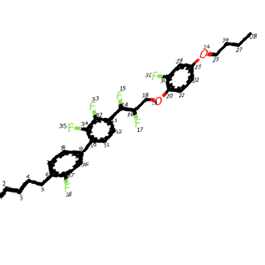 CCCCCCc1ccc(-c2ccc(C(F)C(F)COc3ccc(OCCCC)cc3F)c(F)c2F)cc1F